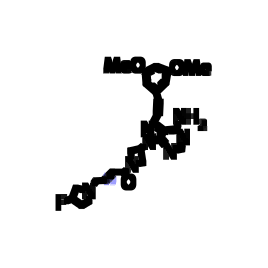 COc1cc(C#Cc2nn(C3CN(C(=O)/C=C/CN4CCC(F)C4)C3)c3ncnc(N)c23)cc(OC)c1